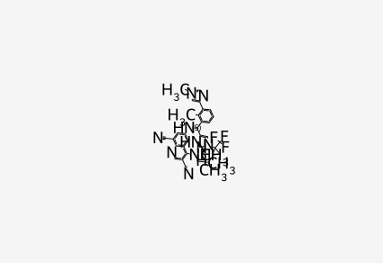 Cc1c(-c2cn(C)cn2)cccc1[C@H](Nc1cc(C#N)c2ncc(C#N)c(NCC(C)(C)C)c2c1)C1=CN(C2(C(F)(F)F)CC2)NN1